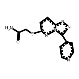 NC(=O)CSc1ccc2nnc(-c3ccncc3)n2n1